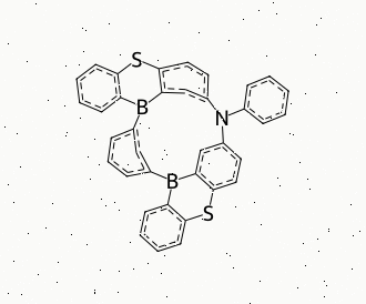 c1ccc(N2c3ccc4c(c3)B(c3cccc(c3)B3c5ccccc5Sc5ccc2cc53)c2ccccc2S4)cc1